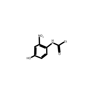 CCC(=O)Nc1ccc(O)cc1[N+](=O)[O-]